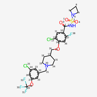 O=C(NS(=O)(=O)N1CCC1)c1cc(Cl)c(OCC2CCN(Cc3cc(Cl)cc(OC(F)(F)F)c3)CC2)cc1F